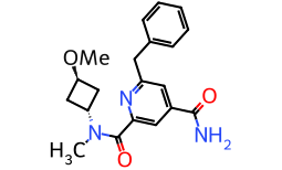 CO[C@H]1C[C@H](N(C)C(=O)c2cc(C(N)=O)cc(Cc3ccccc3)n2)C1